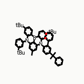 Cc1cc2c3c(c1)N(c1ccc(C(C)(C)c4ccccc4)cc1-c1ccccc1)c1cc(C(C)(C)C)ccc1B3c1ccc(C(C)(C)C)cc1N2c1cccc(C(C)(C)C)c1